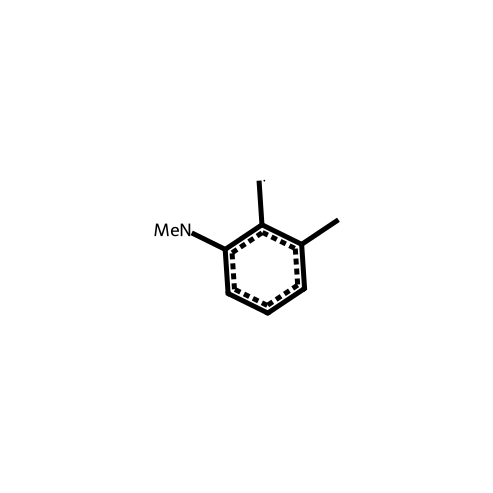 [CH2]c1c(C)cccc1NC